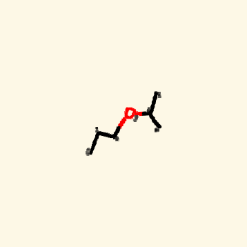 CC[C]OC(C)C